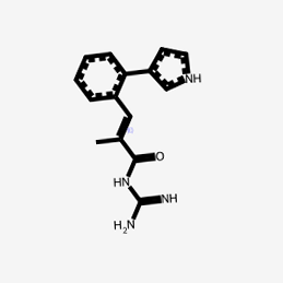 C/C(=C\c1ccccc1-c1cc[nH]c1)C(=O)NC(=N)N